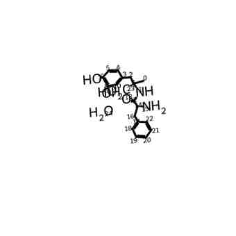 C[C@@](Cc1ccc(O)c(O)c1)(NC(=O)[C@@H](N)Cc1ccccc1)C(=O)O.O